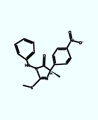 CSC1=N[C@](C)(c2ccc([N+](=O)[O-])cc2)C(=O)N1Nc1ccccc1